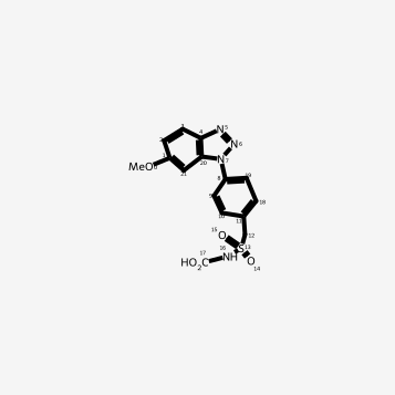 COc1ccc2nnn(-c3ccc(CS(=O)(=O)NC(=O)O)cc3)c2c1